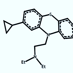 CCN(CC)CCN1c2ccccc2Sc2ccc(C3CC3)cc21